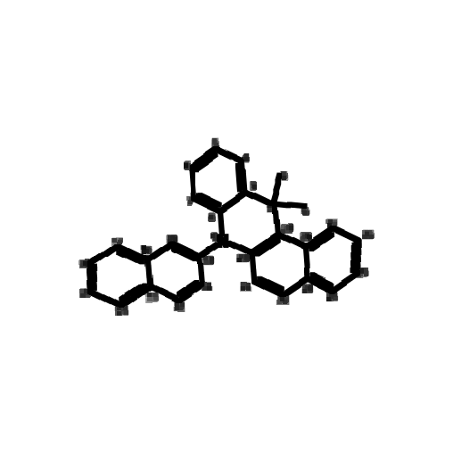 CC1(C)c2ccccc2N(c2ccc3ccccc3c2)c2ccc3ccccc3c21